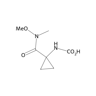 CON(C)C(=O)C1(NC(=O)O)CC1